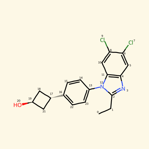 CCc1nc2cc(Cl)c(Cl)cc2n1-c1ccc([C@H]2C[C@H](O)C2)cc1